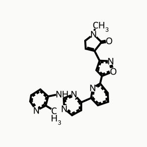 Cc1ncccc1Nc1nccc(-c2cccc(-c3cc(C4=CCN(C)C4=O)no3)n2)n1